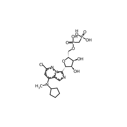 CN(c1cc(Cl)nn2c([C@@H]3O[C@H](COP(=O)(O)CP(=O)(O)O)[C@@H](O)[C@H]3O)ncc12)C1CCCC1